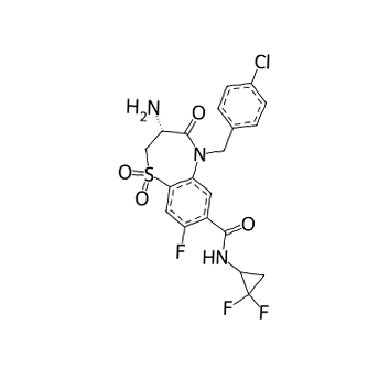 N[C@H]1CS(=O)(=O)c2cc(F)c(C(=O)NC3CC3(F)F)cc2N(Cc2ccc(Cl)cc2)C1=O